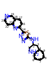 NCC(Cc1ccccc1)Nc1nnc(-c2ccc3cnccc3n2)s1